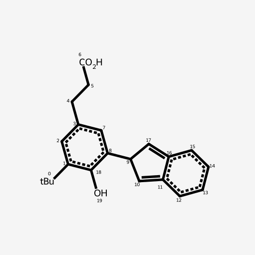 CC(C)(C)c1cc(CCC(=O)O)cc(C2C=c3ccccc3=C2)c1O